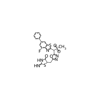 CS(=O)(=O)C(c1nnc(CC2SC(=N)NC2=O)o1)c1nc2c(F)cc(-c3ccccc3)cc2s1